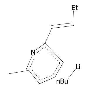 CC/C=C/c1cccc(C)n1.[Li][CH2]CCC